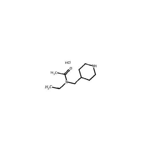 CCN(CC1CCNCC1)C(C)=O.Cl